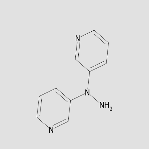 NN(c1cccnc1)c1cccnc1